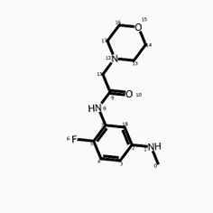 CNc1ccc(F)c(NC(=O)CN2CCOCC2)c1